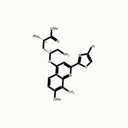 COC(=O)[C@H](C[C@H](CN)Oc1cc(-c2nc(C(C)C)cs2)nc2c(C)c(OC)ccc12)C(C)(C)C